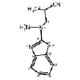 CC(C#N)CN(N)c1nc2ccccc2s1